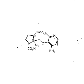 CO[C@H]1CCN(C(=O)O)[C@@]1(COc1c(N)ncnc1Cl)C(C)(C)C